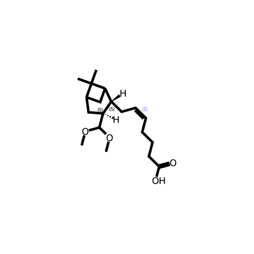 COC(OC)[C@H]1CC2CC([C@@H]1C/C=C\CCCC(=O)O)C2(C)C